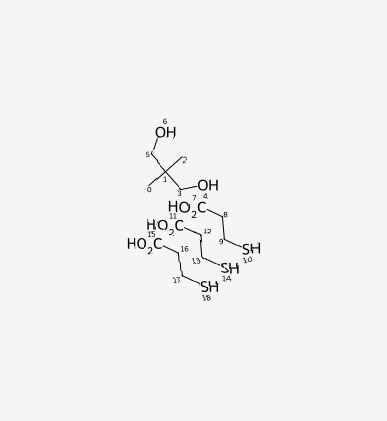 CC(C)(CO)CO.O=C(O)CCS.O=C(O)CCS.O=C(O)CCS